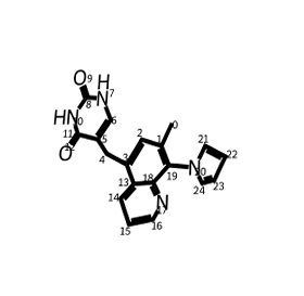 Cc1cc(Cc2c[nH]c(=O)[nH]c2=O)c2cccnc2c1-n1cccc1